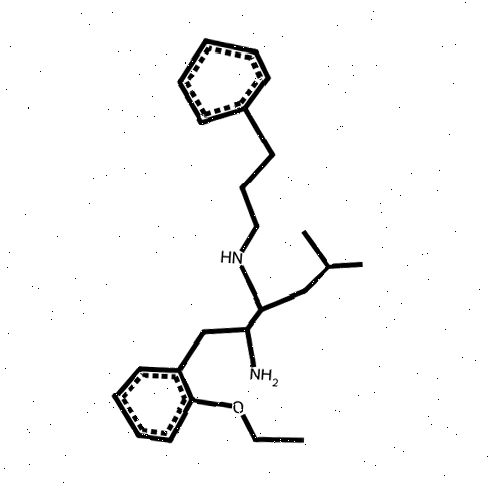 CCOc1ccccc1CC(N)C(CC(C)C)NCCCc1ccccc1